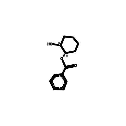 O=C(O[C@H]1CCCC[C@@H]1O)c1ccccc1